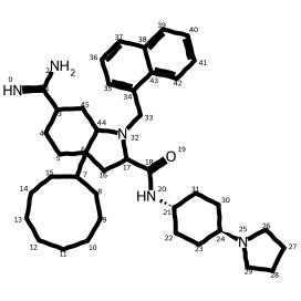 N=C(N)C1CCC2(C3CCCCCCCC3)CC(C(=O)N[C@H]3CC[C@H](N4CCCC4)CC3)N(Cc3cccc4ccccc34)C2C1